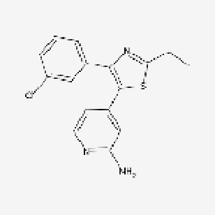 CCc1nc(-c2cccc(Cl)c2)c(-c2ccnc(N)c2)s1